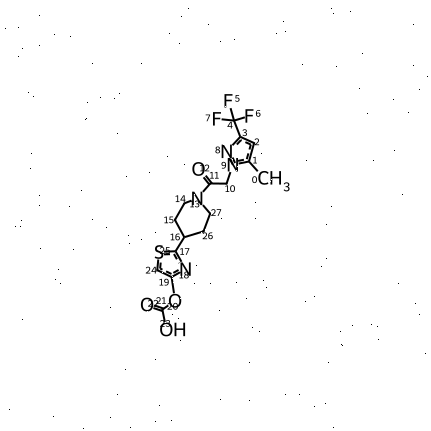 Cc1cc(C(F)(F)F)nn1CC(=O)N1CCC(c2nc(OC(=O)O)cs2)CC1